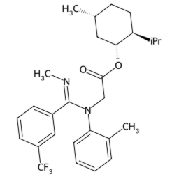 C/N=C(\c1cccc(C(F)(F)F)c1)N(CC(=O)O[C@@H]1C[C@H](C)CC[C@H]1C(C)C)c1ccccc1C